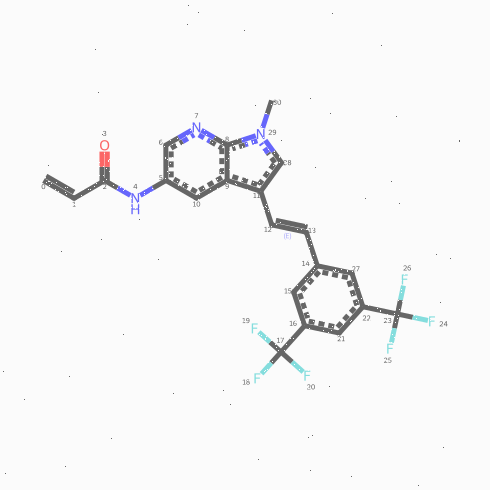 C=CC(=O)Nc1cnc2c(c1)c(/C=C/c1cc(C(F)(F)F)cc(C(F)(F)F)c1)cn2C